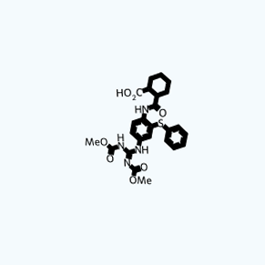 COC(=O)N=C(NC(=O)OC)Nc1ccc(NC(=O)C2CCCCC2C(=O)O)c(Sc2ccccc2)c1